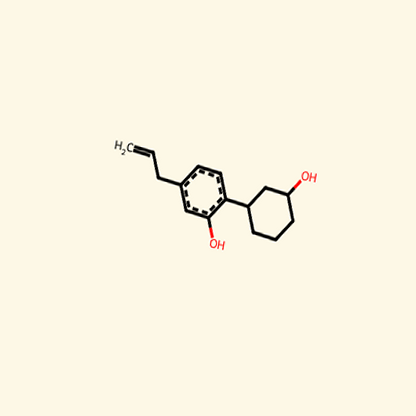 C=CCc1ccc(C2CCCC(O)C2)c(O)c1